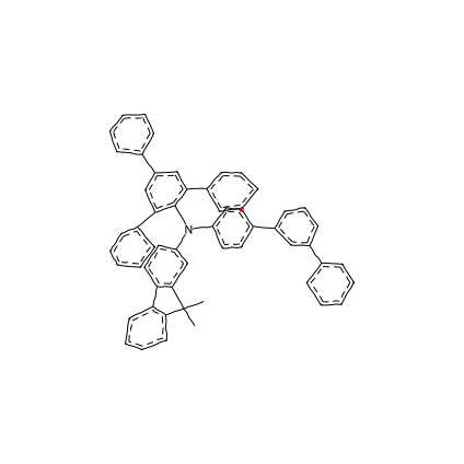 CC1(C)c2ccccc2-c2ccc(N(c3ccc(-c4cccc(-c5ccccc5)c4)cc3)c3c(-c4ccccc4)cc(-c4ccccc4)cc3-c3ccccc3)cc21